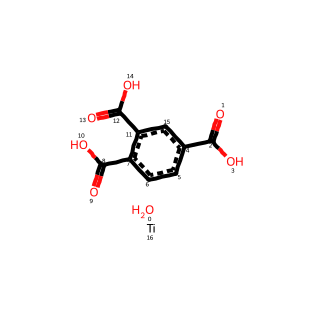 O.O=C(O)c1ccc(C(=O)O)c(C(=O)O)c1.[Ti]